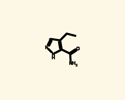 CCc1[c]n[nH]c1C(N)=O